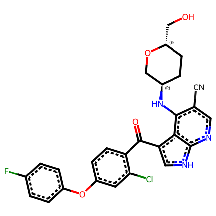 N#Cc1cnc2[nH]cc(C(=O)c3ccc(Oc4ccc(F)cc4)cc3Cl)c2c1N[C@@H]1CC[C@@H](CO)OC1